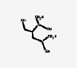 CC(C)(C)N(C[C@@H](CO)N(C(=O)O)C(C)(C)C)C(=O)O